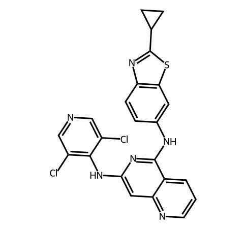 Clc1cncc(Cl)c1Nc1cc2ncccc2c(Nc2ccc3nc(C4CC4)sc3c2)n1